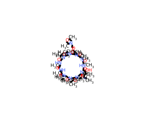 C/C=C/C[C@@H](C)[C@@H](O)[C@H]1C(=O)N[C@@H](CC)C(=O)N(C)[C@H](C)C(=O)N(C)[C@@H]([C@H](C)COCCN2C[C@@H](C)OC[C@H]2C)C(=O)N[C@@H](C(C)C)C(=O)N(C)[C@@H](CC(C)C)C(=O)N[C@@H](C)C(=O)N[C@H](C)C(=O)N(C)[C@@H](CC(C)C)C(=O)N(C)[C@@H](CC(C)C)C(=O)N(C)[C@@H](C(C)C)C(=O)N1C